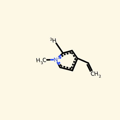 [2H]c1cc(C=C)cc[n+]1C